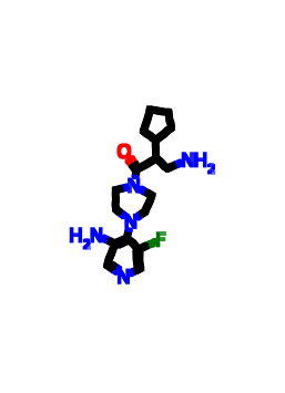 NCC(C(=O)N1CCN(c2c(N)cncc2F)CC1)C1CCCC1